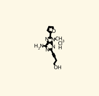 Cl.Cn1c(-c2ccco2)nc2c(N)nc(C#CCCO)nc21